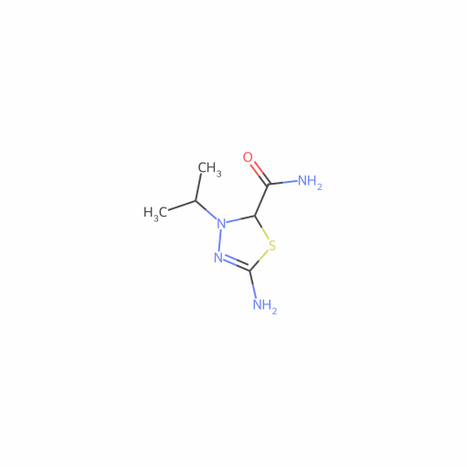 CC(C)N1N=C(N)SC1C(N)=O